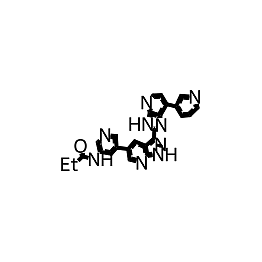 CCC(=O)Nc1cncc(-c2cnc3[nH]nc(-c4nc5c(-c6cccnc6)ccnc5[nH]4)c3c2)c1